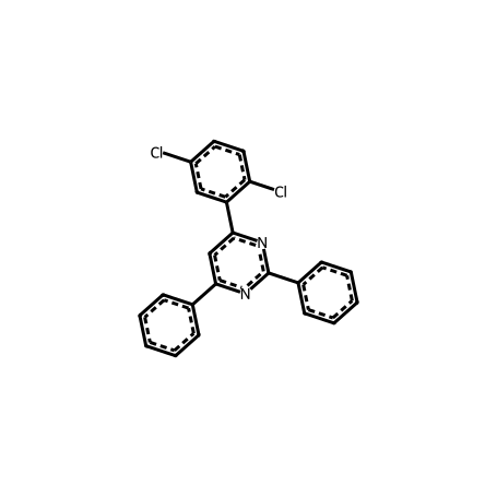 Clc1ccc(Cl)c(-c2cc(-c3ccccc3)nc(-c3ccccc3)n2)c1